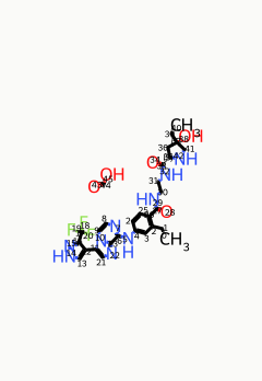 CCc1cc(Nc2nccn3c(-c4c[nH]nc4C(F)(F)F)cnc23)ccc1C(=O)NCCNC(=O)[C@@H]1C[C@@](O)(CC)CN1.O=CO